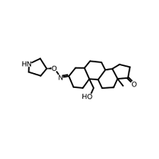 CC12CCC3C(CCC4CC(=NO[C@H]5CCNC5)CCC43CO)C1CCC2=O